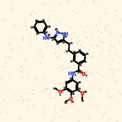 COc1cc(NC(=O)c2cccc(CCc3cc(Nc4ccccc4)n[nH]3)c2)cc(OC)c1OC